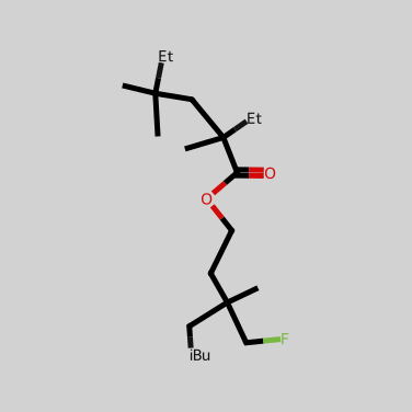 CCC(C)CC(C)(CF)CCOC(=O)C(C)(CC)CC(C)(C)CC